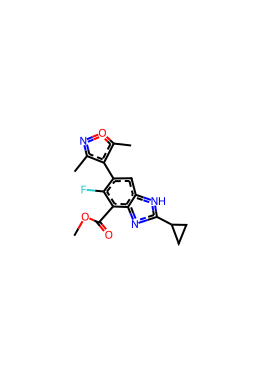 COC(=O)c1c(F)c(-c2c(C)noc2C)cc2[nH]c(C3CC3)nc12